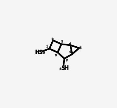 SC1CC2C3CC3C(S)C12